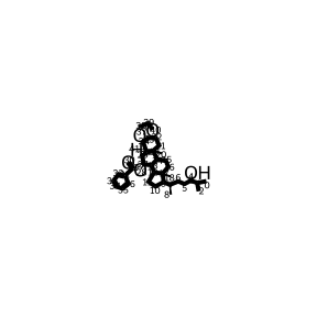 CC(C)[C@H](O)CC[C@@H](C)C1CCC2C3C(CC[C@@]21C)[C@@]1(C)CCC2(C[C@@H]1C[C@H]3OC(=O)c1ccccc1)OCCO2